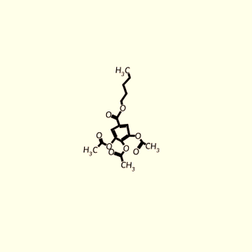 CCCCCOC(=O)c1cc(OC(C)=O)c(OC(C)=O)c(OC(C)=O)c1